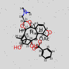 CC(=O)O[C@@]12COC1C=C[C@@]1(C)[C@@H]3O[C@H](CN(C)C)O[C@@H]3C3=C(C)[C@@H](O)C[C@@](O)([C@@H](OC(=O)c4ccccc4)[C@@H]12)C3(C)C